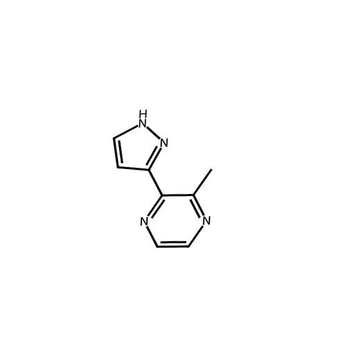 Cc1nccnc1-c1cc[nH]n1